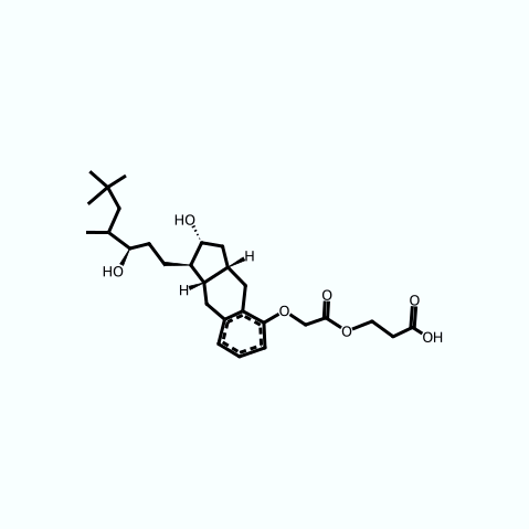 CC(CC(C)(C)C)[C@H](O)CC[C@@H]1[C@H]2Cc3cccc(OCC(=O)OCCC(=O)O)c3C[C@H]2C[C@H]1O